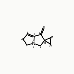 C=C1C2=CCCN2CC12CC2